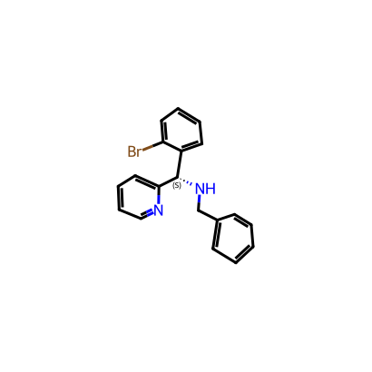 Brc1ccccc1[C@H](NCc1ccccc1)c1ccccn1